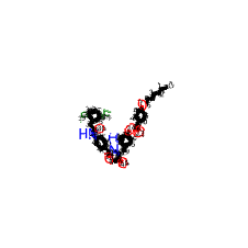 CCCCCCCOc1ccc(C(=O)Oc2ccc(C[C@H](NC(=O)c3ccc(NC(=O)Cc4cc(F)ccc4F)cc3)C(C)=O)cc2)cc1